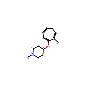 CC1=CCC=CC=C1OC1CCN(C)CC1